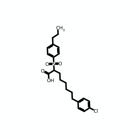 CCCc1ccc(S(=O)(=O)C(CCCCCCc2ccc(Cl)cc2)C(=O)O)cc1